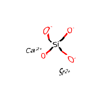 [Ca+2].[O-][Si]([O-])([O-])[O-].[Sr+2]